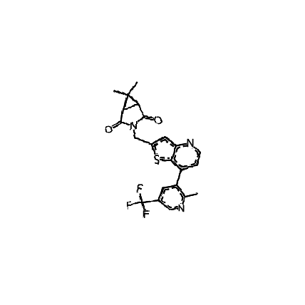 Cc1ncc(C(F)(F)F)cc1-c1ccnc2cc(CN3C(=O)C4C(C3=O)C4(C)C)sc12